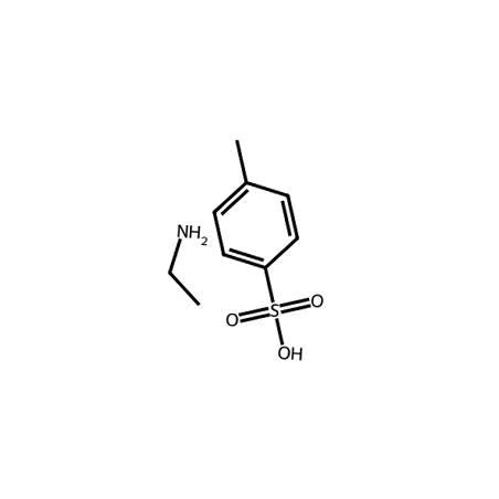 CCN.Cc1ccc(S(=O)(=O)O)cc1